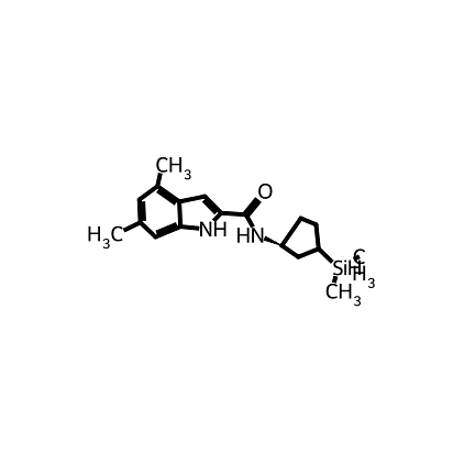 Cc1cc(C)c2cc(C(=O)N[C@H]3CCC([SiH](C)C)C3)[nH]c2c1